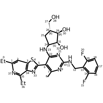 CCc1cc2sc(-c3c(C)nc(NCc4c(F)cccc4F)nc3NC3C[C@H](CO)[C@@H](O)[C@H]3O)nc2c(CC)n1